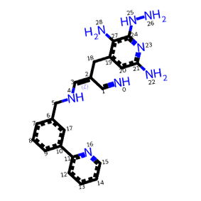 N=C/C(=C\NCc1cccc(-c2ccccn2)c1)Cc1cc(N)nc(NN)c1N